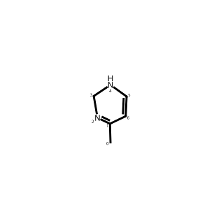 CC1=NCNC=C1